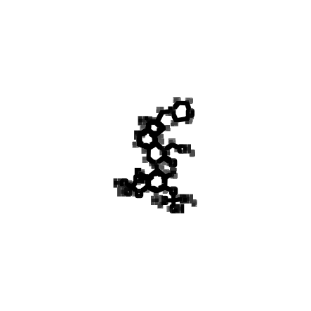 BC(B)(O)Oc1cc(OC(O)(O)O)c(F)c(N2Cc3cnc4[nH]c(CN5CCOCC5)cc4c3N(CC)C2=O)c1F